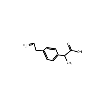 C=CCc1ccc(C(C)C(=O)O)cc1